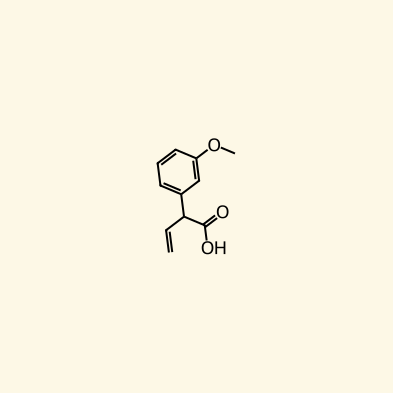 C=CC(C(=O)O)c1cccc(OC)c1